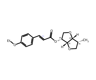 CCOc1ccc(/C=C/C(=O)O[C@@H]2CO[C@H]3[C@@H]2OC[C@H]3C)cc1